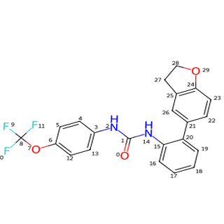 O=C(Nc1ccc(OC(F)(F)F)cc1)Nc1ccccc1-c1ccc2c(c1)CCO2